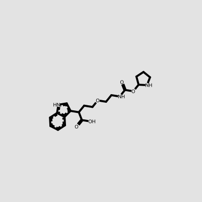 O=C(NCCOCCC(C(=O)O)c1c[nH]c2ccccc12)OC1CCCN1